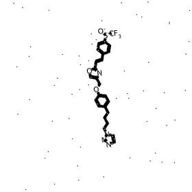 [O-][S+](c1ccc(C=Cc2nc(COc3ccc(CCCCn4ccnn4)cc3)co2)cc1)C(F)(F)F